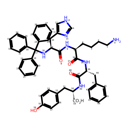 NCCCC[C@H](NC(=O)[C@H](Cc1c[nH]cn1)NC(c1ccccc1)(c1ccccc1)c1ccccc1)C(=O)N[C@H](Cc1ccccc1)C(=O)N[C@@H](Cc1ccc(O)cc1)C(=O)O